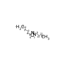 [CH2]CCCCc1ccn(CCCC)n1